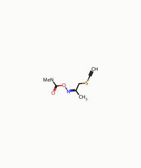 C#CSCC(C)=NOC(=O)NC